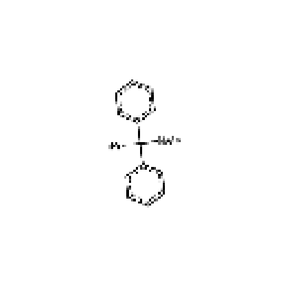 CCCC(NC)(c1ccccc1)c1ccccc1